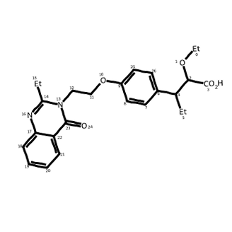 CCOC(C(=O)O)C(CC)c1ccc(OCCn2c(CC)nc3ccccc3c2=O)cc1